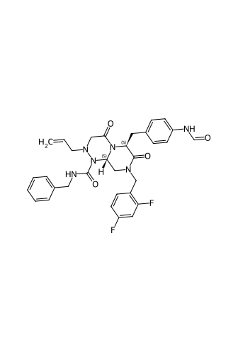 C=CCN1CC(=O)N2[C@@H](Cc3ccc(NC=O)cc3)C(=O)N(Cc3ccc(F)cc3F)C[C@@H]2N1C(=O)NCc1ccccc1